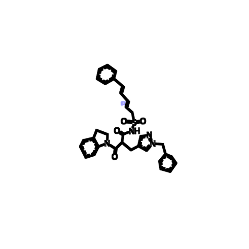 O=C(NS(=O)(=O)C/C=C/C=Cc1ccccc1)C(Cc1cnn(Cc2ccccc2)c1)C(=O)N1CCc2ccccc21